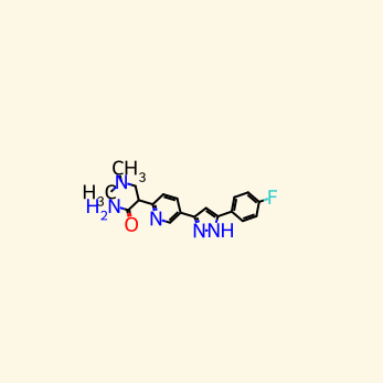 CN(C)CC(C(N)=O)c1ccc(-c2cc(-c3ccc(F)cc3)[nH]n2)cn1